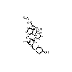 CNCC(CC1CCC(O)CC1)NC(=O)N1CCCC(C(O)(CCCCOC)c2cccc(Cl)c2)C1